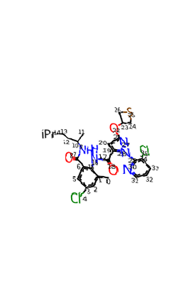 Cc1cc(Cl)cc(C(=O)NC(C)CCC(C)C)c1NC(=O)c1cc(OC2CSC2)nn1-c1ncccc1Cl